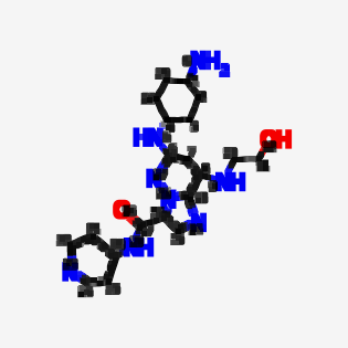 N[C@H]1CC[C@H](Nc2cc(NCCO)c3ncc(C(=O)Nc4ccncc4)n3n2)CC1